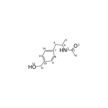 CC(=O)NC(C)Cc1ccc(CO)cc1